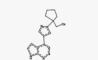 N#CCC1(n2cc(-c3cnnc4[nH]ccc34)cn2)CCCC1